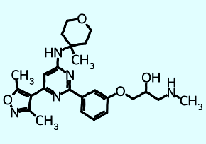 CNCC(O)COc1cccc(-c2nc(NC3(C)CCOCC3)cc(-c3c(C)noc3C)n2)c1